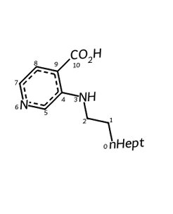 CCCCCCCCCNc1cnccc1C(=O)O